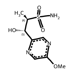 COc1cnc([C@H](O)[C@@H](C)S(N)(=O)=O)cn1